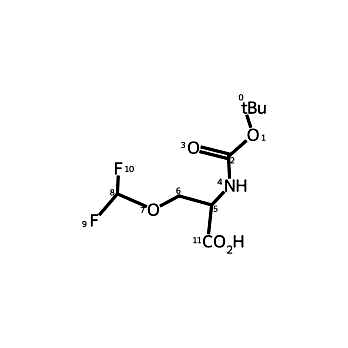 CC(C)(C)OC(=O)NC(COC(F)F)C(=O)O